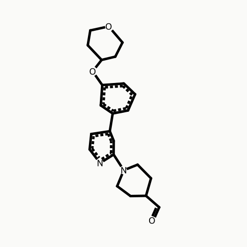 O=CC1CCN(c2cc(-c3cccc(OC4CCOCC4)c3)ccn2)CC1